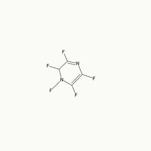 FC1=NC(F)=C(F)N(F)C1F